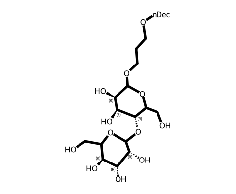 CCCCCCCCCCOCCCOC1OC(CO)[C@H](OC2OC(CO)[C@H](O)[C@@H](O)[C@H]2O)[C@@H](O)[C@H]1O